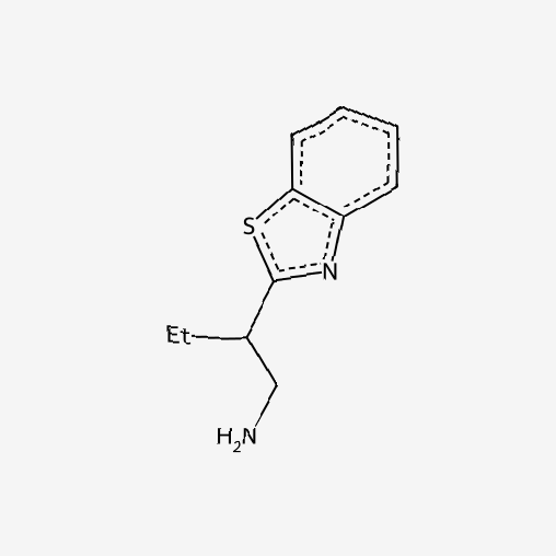 CCC(CN)c1nc2ccccc2s1